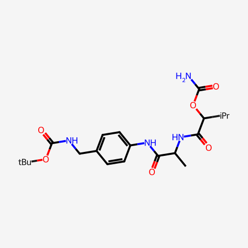 CC(NC(=O)C(OC(N)=O)C(C)C)C(=O)Nc1ccc(CNC(=O)OC(C)(C)C)cc1